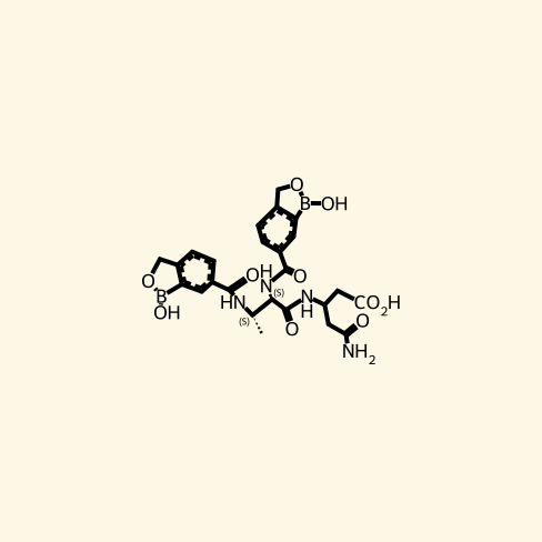 C[C@H](NC(=O)c1ccc2c(c1)B(O)OC2)[C@H](NC(=O)c1ccc2c(c1)B(O)OC2)C(=O)NC(CC(N)=O)CC(=O)O